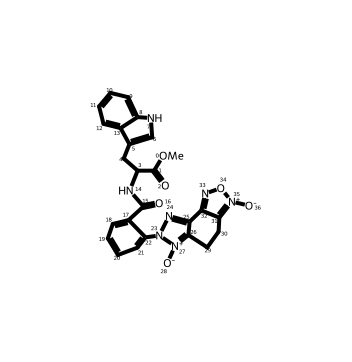 COC(=O)C(Cc1c[nH]c2ccccc12)NC(=O)c1ccccc1-n1nc2c([n+]1[O-])CCc1c-2no[n+]1[O-]